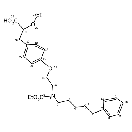 CCOC(=O)N(CCCSCc1ccccc1)CCOc1ccc(CC(OCC)C(=O)O)cc1